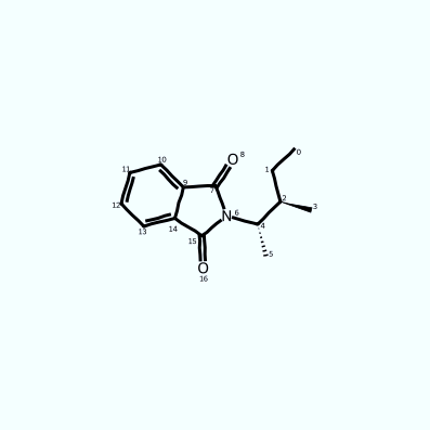 CC[C@@H](C)[C@H](C)N1C(=O)c2ccccc2C1=O